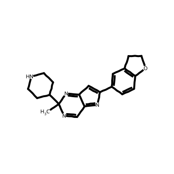 CC1(C2CCNCC2)N=CC2=NC(c3ccc4c(c3)CCO4)=CC2=N1